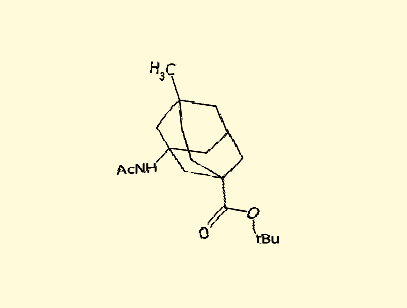 CC(=O)NC12CC3CC(C)(C1)CC(C(=O)OC(C)(C)C)(C3)C2